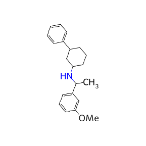 COc1cccc(C(C)NC2CCCC(c3ccccc3)C2)c1